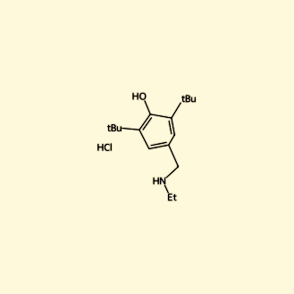 CCNCc1cc(C(C)(C)C)c(O)c(C(C)(C)C)c1.Cl